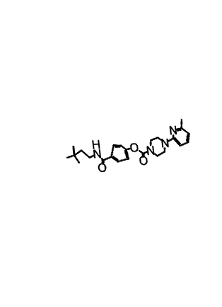 Cc1cccc(N2CCN(C(=O)Oc3ccc(C(=O)NCCC(C)(C)C)cc3)CC2)n1